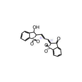 O=C1/C(=C/C=C/C2C(O)c3ccccc3S2(=O)=O)S(=O)(=O)c2ccccc21